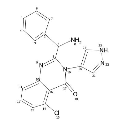 NC(c1ccccc1)c1nc2cccc(Cl)c2c(=O)n1-c1cn[nH]c1